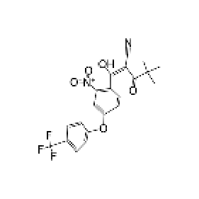 CC(C)(C)C(=O)C(C#N)=C(O)c1ccc(Oc2ccc(C(F)(F)F)cc2)cc1[N+](=O)[O-]